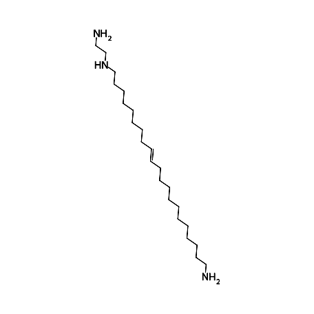 NCCCCCCCCCCCC=CCCCCCCCCNCCN